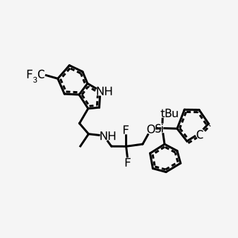 CC(Cc1c[nH]c2ccc(C(F)(F)F)cc12)NCC(F)(F)CO[Si](c1ccccc1)(c1ccccc1)C(C)(C)C